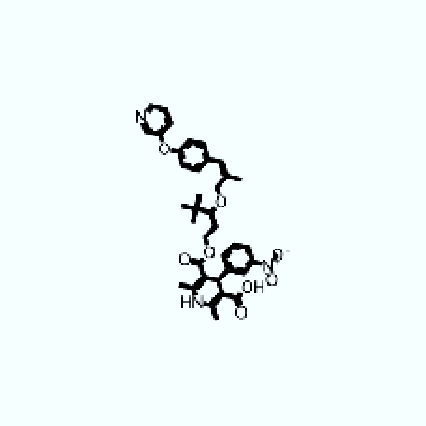 CC(=Cc1ccc(Oc2cccnc2)cc1)COC(CCOC(=O)C1=C(C)NC(C)=C(C(=O)O)C1c1cccc([N+](=O)[O-])c1)C(C)(C)C